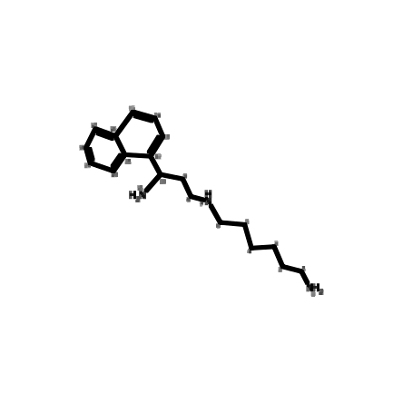 NCCCCCCNCCC(N)c1cccc2ccccc12